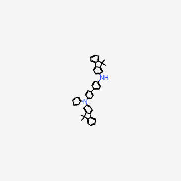 CC1(C)c2ccccc2-c2ccc(Nc3ccc(-c4ccc(N(c5ccccc5)c5ccc6c(c5)C(C)(C)c5ccccc5-6)cc4)cc3)cc21